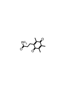 CC1=C(C)C(=O)C(CCC(=O)P)=C(C)C1=O